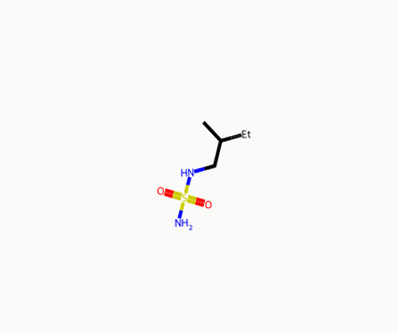 CCC(C)CNS(N)(=O)=O